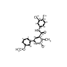 COc1cccc(C2=N[S+]([O-])N(C)C(C(=O)Nc3ccc(F)c(Cl)c3)=C2)c1